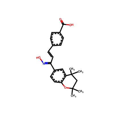 CC1(C)CC(C)(C)c2cc(C(/C=C/c3ccc(C(=O)O)cc3)=N/O)ccc2O1